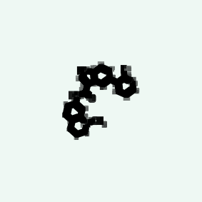 CN1CCCc2ccc(NC(=O)c3c[nH]c4ccc(-c5cccnc5F)cc34)cc21